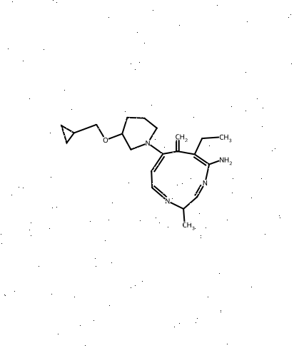 C=C1/C(CC)=C(N)\N=C/C(C)/N=C\C=C/1N1CCCC(OCC2CC2)C1